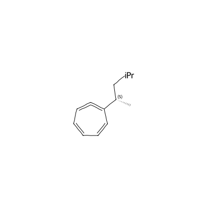 CC(C)C[C@H](C)C1=C=CC=CC=C1